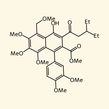 CCC(CC)CC(=O)c1c(C(=O)OC)c(-c2ccc(OC)c(OC)c2)c2c(OC)c(OC)c(OC)c(COC)c2c1O